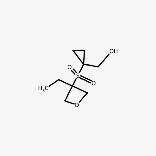 CCC1(S(=O)(=O)C2(CO)CC2)COC1